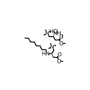 CCCCCCCCN[C@H](CC(=O)OC)C[N+](C)(C)C.COC(=O)C[C@@H](N)C[N+](C)(C)C.Cl